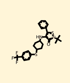 CC(C)(C)n1sc(-c2ccccc2)c(NC2CCC(Sc3ccc(C(F)(F)F)cc3)CC2)c1=O